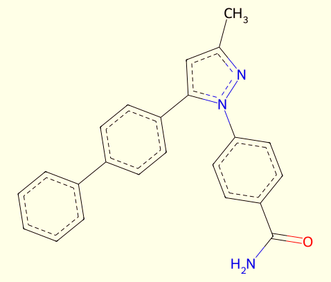 Cc1cc(-c2ccc(-c3ccccc3)cc2)n(-c2ccc(C(N)=O)cc2)n1